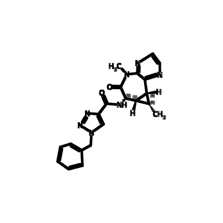 C[C@H]1[C@H]2c3nccnc3N(C)C(=O)[C@@H](NC(=O)c3cn(Cc4ccccc4)nn3)[C@@H]12